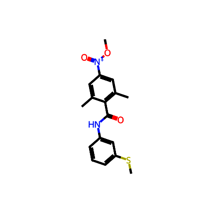 CO[N+](=O)c1cc(C)c(C(=O)Nc2cccc(SC)c2)c(C)c1